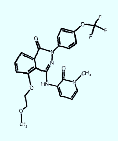 COCCOc1cccc2c(=O)n(-c3ccc(OC(F)(F)F)cc3)nc(Nc3cccn(C)c3=O)c12